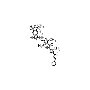 Cc1nc(CNc2n[nH]c3cc(Cl)c(C(C)(C)C)cc23)n(C)c1C(=O)N[C@@H]1CN(C(=O)/C=C/C2CCCC2)[C@H]1C